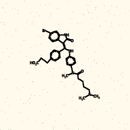 CN(C)CCCCC(=O)N(C)c1ccc(N/C(=C2\C(=O)Nc3cc(Br)ccc32)c2ccc(CCC(=O)O)cc2)cc1